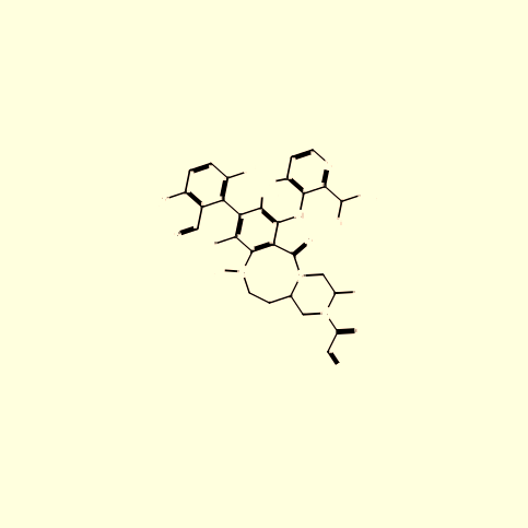 C=CC(=O)N1CC2CCN(C)c3c(Cl)c(-c4c(C)ccc(N)c4C=N)c(F)c(Nc4c(C)ccnc4C(C)O)c3C(=N)N2CC1C